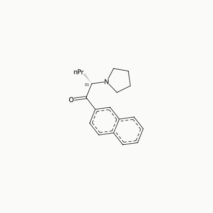 CCC[C@@H](C(=O)c1ccc2ccccc2c1)N1CCCC1